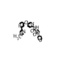 Cn1cnc(-c2cc(Oc3ccc(NC(=O)N4CCN(C5CCOCC5)C4=O)nc3)ccn2)c1